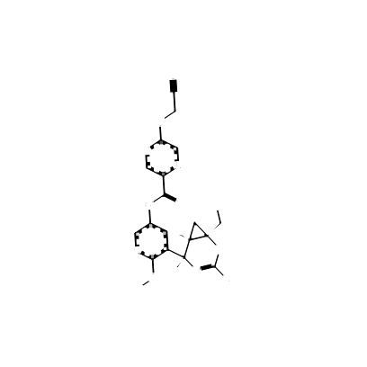 C#CCOc1cnc(C(=O)Nc2cnc(OC)c([C@@]3(C)N=C(N)S[C@@]4(CF)C[C@H]43)c2)cn1